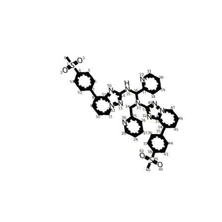 CS(=O)(=O)c1ccc(-c2cccn3nc(NC(c4ccccn4)N(Cc4ccccn4)c4nc5c(-c6ccc(S(C)(=O)=O)cc6)cccn5n4)nc23)cc1